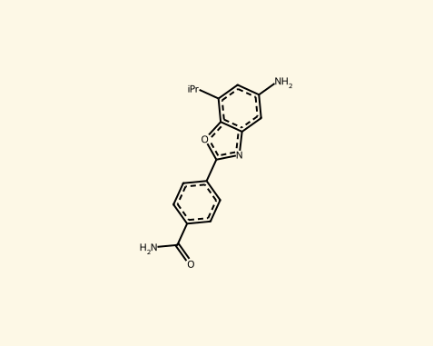 CC(C)c1cc(N)cc2nc(-c3ccc(C(N)=O)cc3)oc12